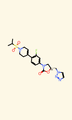 CC(C)S(=O)(=O)N1CC=C(c2ccc(N3C[C@H](Cn4ccnn4)OC3=O)cc2F)CC1